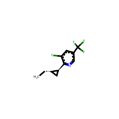 CC[C@H]1C[C@@H]1c1ncc(C(F)(F)F)cc1F